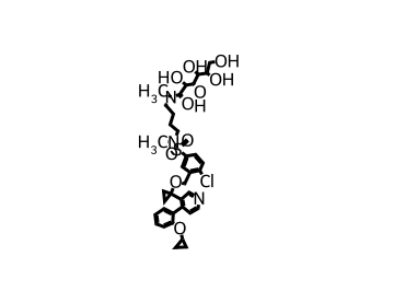 CN(CCCCN(C)S(=O)(=O)c1ccc(Cl)c(COC2(c3cnccc3-c3ccccc3OC3CC3)CC2)c1)C(=O)C(O)C(O)C(O)C(O)CO